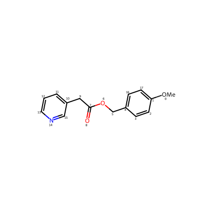 COc1ccc(COC(=O)Cc2cccnc2)cc1